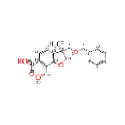 CC1(COCc2ccccc2)COc2c1ccc(C(=O)O)c2C=O